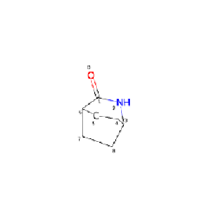 O=C1NC2CCC1CC2